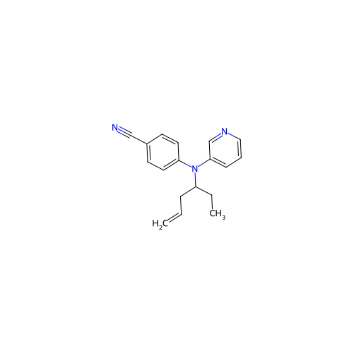 C=CCC(CC)N(c1ccc(C#N)cc1)c1cccnc1